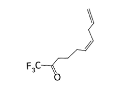 C=CC/C=C\CCCC(=O)C(F)(F)F